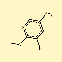 CNc1ncc(P)cc1F